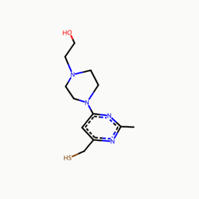 Cc1nc(CS)cc(N2CCN(CCO)CC2)n1